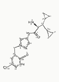 N[C@H](C(=O)Nc1cnn(Cc2cc(Cl)n[nH]c2=O)c1)C(C1CC1)C1CC1